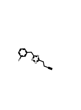 C#CCCc1nc(Cc2cccc(F)c2)no1